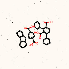 O=C(O)c1ccc(-c2ccccc2)c(C(=O)O)c1-c1ccccc1.O=C(O)c1ccc(C(=O)O)cc1.c1ccc2c(c1)Cc1ccccc1-2